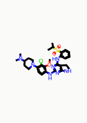 COc1c(Nc2nc3c(c(Nc4ccccc4S(=O)(=O)C(C)C)n2)CCN3)ccc(N2CCC(N(C)C)CC2)c1Cl